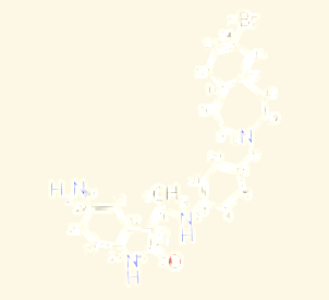 C/C(Nc1ccc(CN2CC=C3CC=C(Br)C=C3CC2)cc1)=C1/C(=O)Nc2ccc(N)cc21